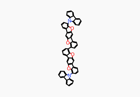 c1cc(-c2cccc3c2oc2cc4c(cc23)oc2c(-n3c5ccccc5c5ccccc53)cccc24)c2oc3cc4c(cc3c2c1)oc1c(-n2c3ccccc3c3ccccc32)cccc14